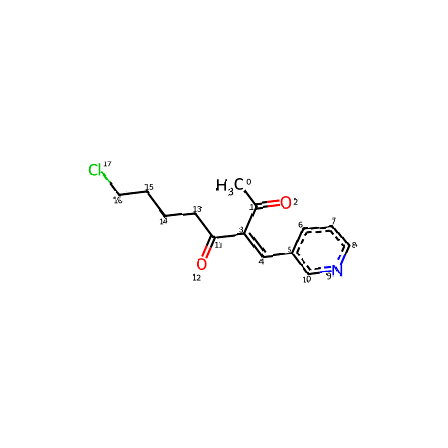 CC(=O)/C(=C\c1cccnc1)C(=O)CCCCCl